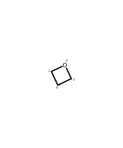 [CH]1COC1